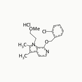 COCCn1c(C)c(C)c2ccnc(OCc3ccccc3Cl)c21.Cl